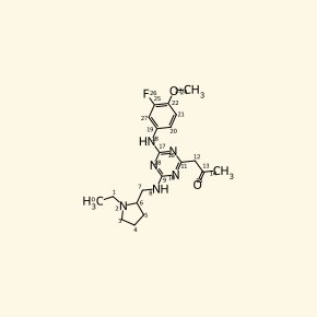 CCN1CCCC1CNc1nc(CC(C)=O)nc(Nc2ccc(OC)c(F)c2)n1